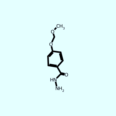 COCOc1ccc(C(=O)NN)cc1